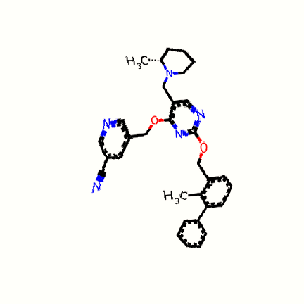 Cc1c(COc2ncc(CN3CCCC[C@H]3C)c(OCc3cncc(C#N)c3)n2)cccc1-c1ccccc1